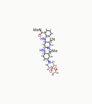 CNC(=O)c1ccccc1Nc1cc(Nc2ccc(N3CCC4(CC3)OCCO4)cc2OC)ncc1C#N